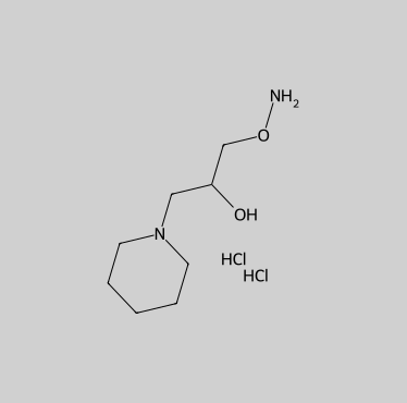 Cl.Cl.NOCC(O)CN1CCCCC1